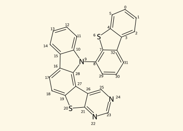 c1ccc2c(c1)sc1c(-n3c4ccccc4c4ccc5sc6ncncc6c5c43)cccc12